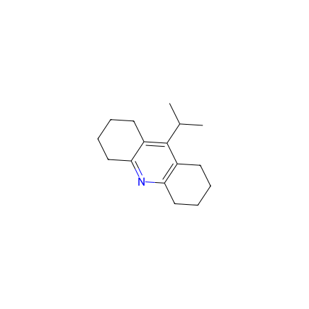 CC(C)c1c2c(nc3c1CCCC3)CCCC2